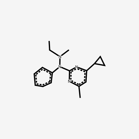 CCN(C)N(c1ccccc1)c1nc(C)cc(C2CC2)n1